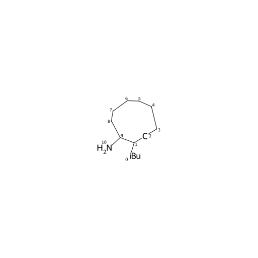 CCC(C)C1CCCCCCCC1N